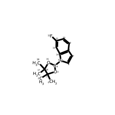 CC1(C)OB(n2ccc3ccc(F)cc32)OC1(C)C